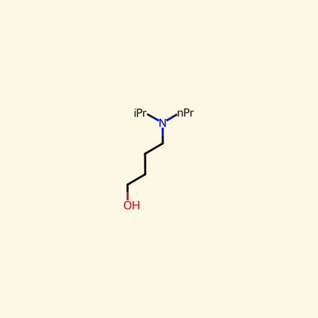 CCCN(CCCCO)C(C)C